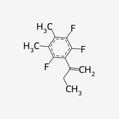 C=C(CC)c1c(F)c(C)c(C)c(F)c1F